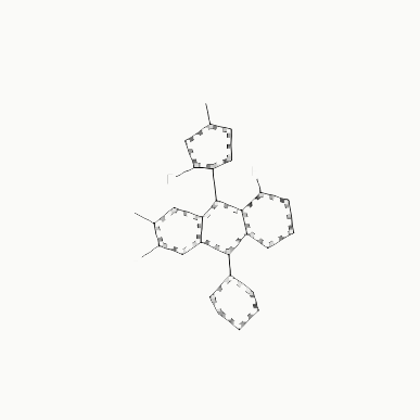 Fc1ccc(-c2c3cc(F)c(F)cc3c(-c3ccccc3)c3cccc(F)c23)c(F)c1